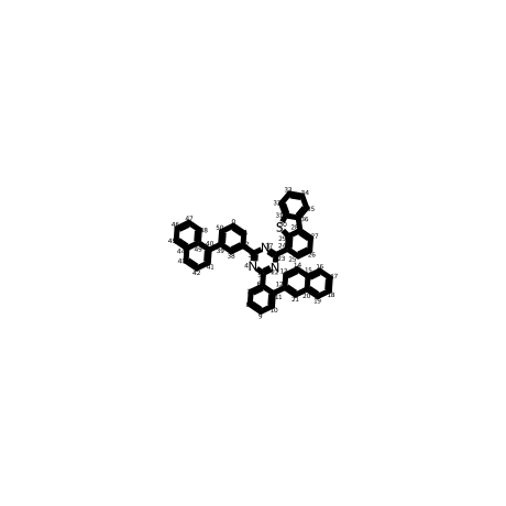 c1cc(-c2nc(-c3ccccc3-c3ccc4ccccc4c3)nc(-c3cccc4c3sc3ccccc34)n2)cc(-c2cccc3ccccc23)c1